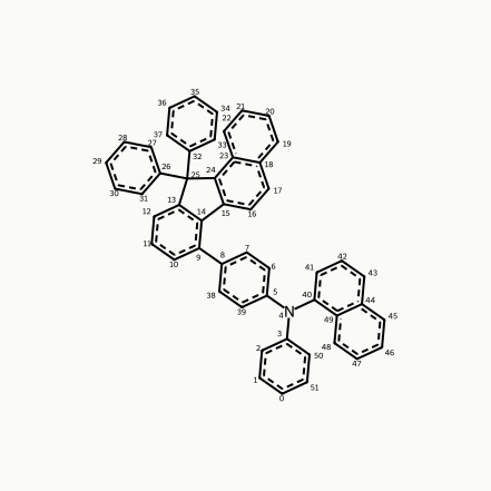 c1ccc(N(c2ccc(-c3cccc4c3-c3ccc5ccccc5c3C4(c3ccccc3)c3ccccc3)cc2)c2cccc3ccccc23)cc1